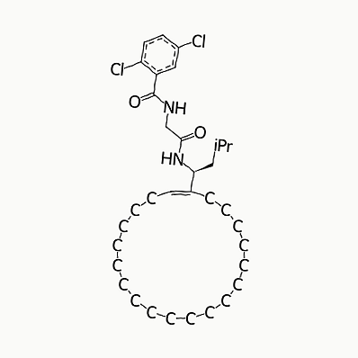 CC(C)C[C@H](NC(=O)CNC(=O)c1cc(Cl)ccc1Cl)/C1=C/CCCCCCCCCCCCCCCCCC1